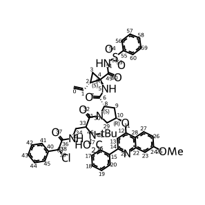 C=C[C@@H]1C[C@]1(NC(=O)[C@@H]1C[C@@H](Oc2cc(-c3ccccc3)nc3cc(OC)ccc23)CN1C(=O)C(CNC(=O)[C@@H](Cl)c1ccccc1)N(C(=O)O)C(C)(C)C)C(=O)NS(=O)(=O)c1ccccc1